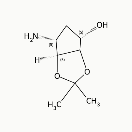 CC1(C)OC2[C@@H](O1)[C@H](N)C[C@@H]2O